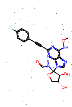 CONc1nc(C#Cc2ccc(F)cc2)nc2c1ncn2[C@@]1(N(C)C=O)OC[C@@H](O)[C@@H]1O